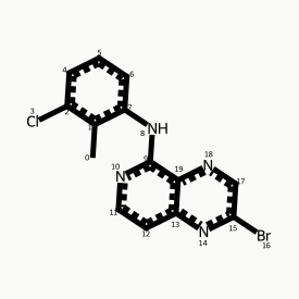 Cc1c(Cl)cccc1Nc1nccc2nc(Br)cnc12